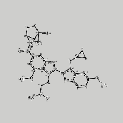 COc1ccc2cc(-c3nc4cc(C(=O)N5C[C@H]6CCC5[C@@H]6N)cc(OC)c4n3CC[S+](C)[O-])n(CC3CC3)c2n1